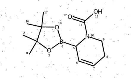 CC1(C)OB(C2C=CCCN2C(=O)O)OC1(C)C